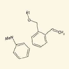 C=Cc1ccccc1COCC.CNc1ccccc1